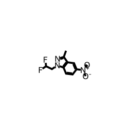 Cc1nn(CC(F)F)c2ccc([N+](=O)[O-])cc12